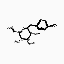 CC(=O)OC[C@H]1OC(Oc2ccc(O)cc2)[C@@H](OC(C)=O)[C@@H](OC(C)=O)[C@@H]1OC(C)=O